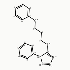 c1ccc(OCCCSc2nnnn2-c2ccccc2)cc1